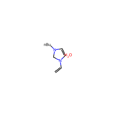 C=CN1C=CN(CCCC)C1.O